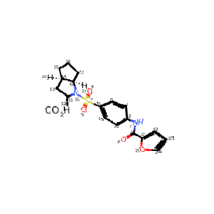 O=C(Nc1ccc(S(=O)(=O)N2C(C(=O)O)C[C@H]3CCC[C@H]32)cc1)c1ccco1